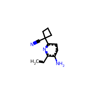 C=Cc1nc(C2(C#N)CCC2)ccc1N